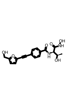 C[C@@H](O)[C@@H](NC(=O)c1ccc(C#Cc2ccc(CO)o2)cc1)C(=O)NO